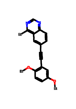 CCOc1ccc(OCC)c(C#Cc2ccc3ncnc(CC)c3c2)c1